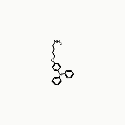 NCCCCOc1ccc(N(c2ccccc2)c2ccccc2)cc1